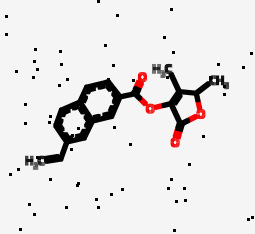 C=Cc1ccc2ccc(C(=O)OC3=C(C)C(C)OC3=O)cc2c1